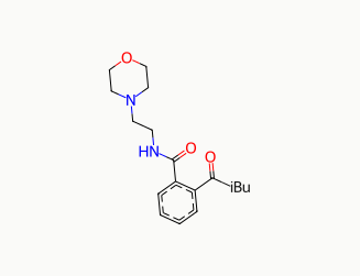 CCC(C)C(=O)c1ccccc1C(=O)NCCN1CCOCC1